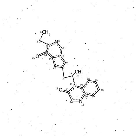 CSn1ncn2cc(CC(C)n3c(=O)cnc4ccccc43)cc2c1=O